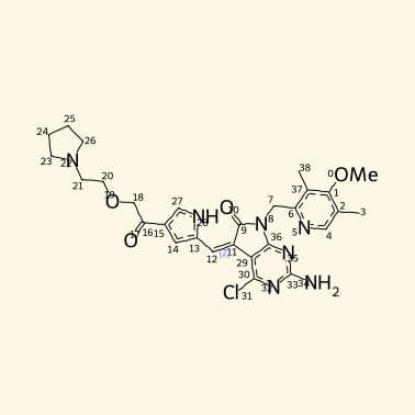 COc1c(C)cnc(CN2C(=O)/C(=C\c3cc(C(=O)COCCN4CCCC4)c[nH]3)c3c(Cl)nc(N)nc32)c1C